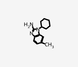 Cc1ccc2nc(N)n(C3CCCCC3)c2c1